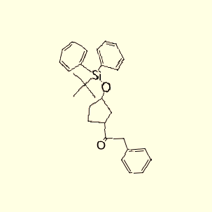 CC(C)(C)[Si](OC1CCC(C(=O)Cc2ccccc2)C1)(c1ccccc1)c1ccccc1